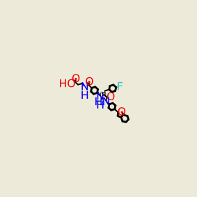 O=C(O)CCNC(=O)c1ccc(N[C@@H](Cc2ccc(F)cc2)C(=O)Nc2ccc(-c3cc4ccccc4o3)cc2)cc1